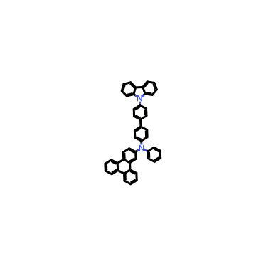 c1ccc(N(c2ccc(-c3ccc(-n4c5ccccc5c5ccccc54)cc3)cc2)c2ccc3c4ccccc4c4ccccc4c3c2)cc1